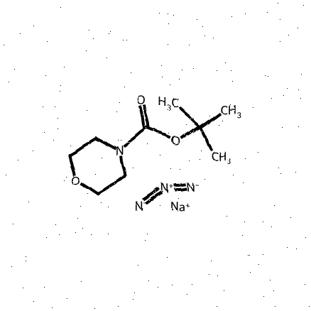 CC(C)(C)OC(=O)N1CCOCC1.[N-]=[N+]=[N-].[Na+]